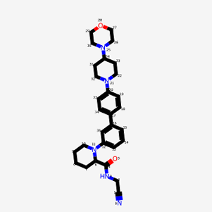 N#CCNC(=O)C1CCCCN1c1cccc(-c2ccc(N3CCC(N4CCOCC4)CC3)cc2)c1